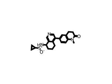 CN1C(=O)CCc2cc(-c3cncc4c3CCCC4N[S+]([O-])C3CC3)ccc21